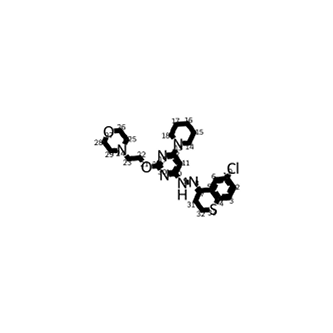 Clc1ccc2c(c1)/C(=N/Nc1cc(N3CCCCC3)nc(OCCN3CCOCC3)n1)CCS2